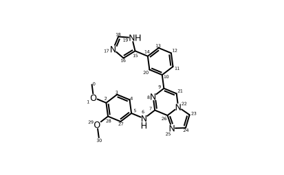 COc1ccc(Nc2nc(-c3cccc(-c4cnc[nH]4)c3)cn3ccnc23)cc1OC